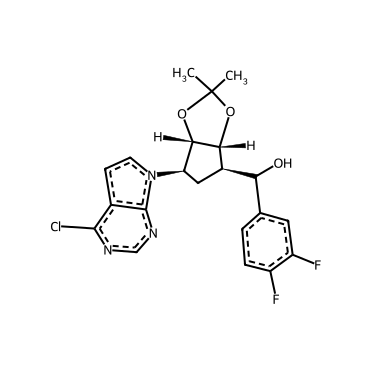 CC1(C)O[C@@H]2[C@H](O1)[C@@H](C(O)c1ccc(F)c(F)c1)C[C@H]2n1ccc2c(Cl)ncnc21